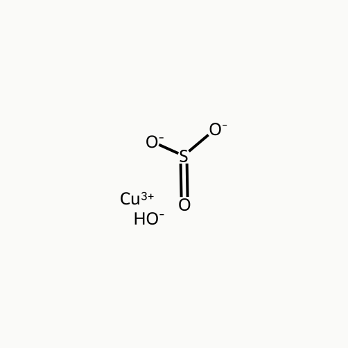 O=S([O-])[O-].[Cu+3].[OH-]